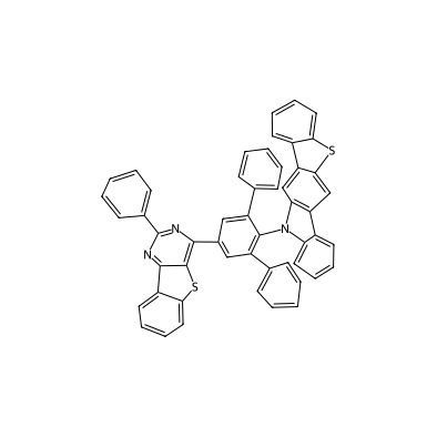 c1ccc(-c2nc(-c3cc(-c4ccccc4)c(-n4c5ccccc5c5cc6sc7ccccc7c6cc54)c(-c4ccccc4)c3)c3sc4ccccc4c3n2)cc1